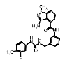 Cc1ccc(NC(=O)NCc2cccc(NC(=O)c3cccc4c3c(N)nn4C)c2)cc1F